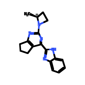 C[C@H]1CCN1c1nc2c(c(-c3nc4ccccc4[nH]3)n1)CCC2